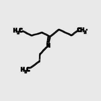 [CH2]CCC(CCC)=NCCC